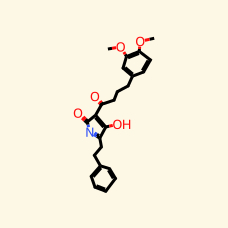 COc1ccc(CCCC(=O)C2=C(O)C(CCc3ccccc3)=NC2=O)cc1OC